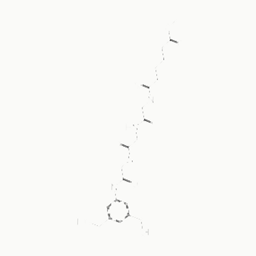 COC(=O)CCCCC(=O)NCC(=O)NCC(=O)NCC(=O)Nc1cc(CO)cc(CO)c1